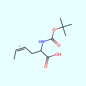 C/C=C\CC(NC(=O)OC(C)(C)C)C(=O)O